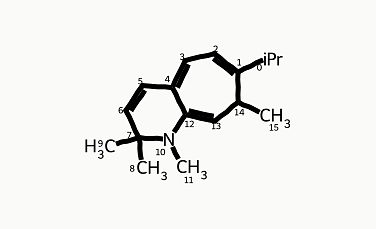 CC(C)C1=CC=C2C=CC(C)(C)N(C)C2=CC1C